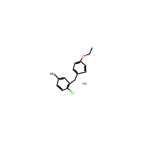 Br.CCOc1ccc(Cc2c[c]([Mg])ccc2Cl)cc1